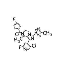 Cc1nsc(-c2nc(-c3cc(F)ncc3Cl)c3n2CCN(C(=O)c2ccc(F)cc2)[C@@H]3C)n1